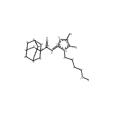 COCCCCn1c(C)c(C)sc1=NC(=O)C12CC3CC(CC(C3)C1)C2